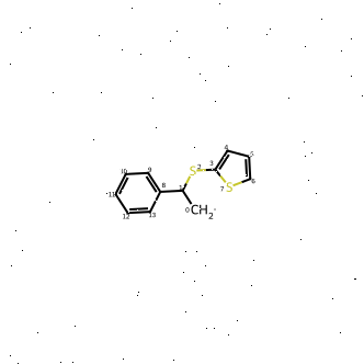 [CH2]C(Sc1cccs1)c1ccccc1